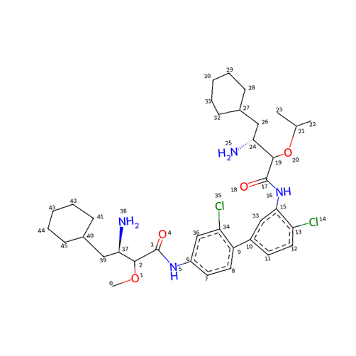 COC(C(=O)Nc1ccc(-c2ccc(Cl)c(NC(=O)C(OC(C)C)[C@H](N)CC3CCCCC3)c2)c(Cl)c1)[C@H](N)CC1CCCCC1